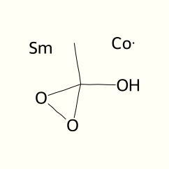 CC1(O)OO1.[Co].[Sm]